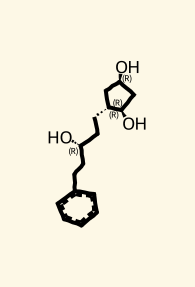 O[C@@H](CCc1ccccc1)CC[C@@H]1C[C@@H](O)C[C@H]1O